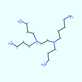 NCCCCN(CCCN)CCN(CCCN)CCCN